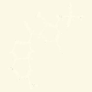 CCCS(=O)(=O)Nc1cc(F)cc(C(=O)c2ccc3ncc(OC)cc3c2)c1Cl